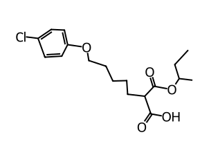 CCC(C)OC(=O)C(CCCCCOc1ccc(Cl)cc1)C(=O)O